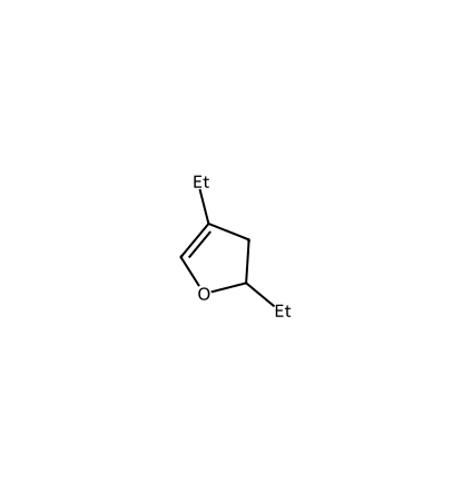 CCC1=COC(CC)C1